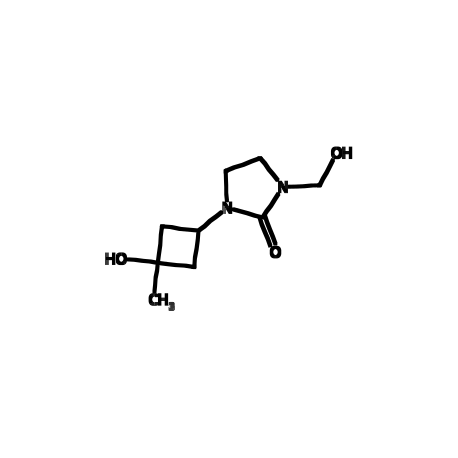 CC1(O)CC(N2CCN(CO)C2=O)C1